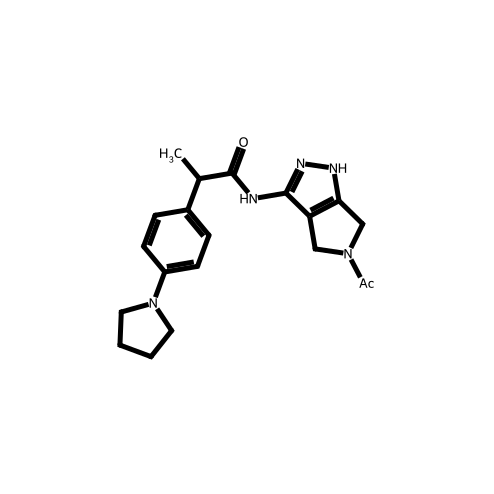 CC(=O)N1Cc2[nH]nc(NC(=O)C(C)c3ccc(N4CCCC4)cc3)c2C1